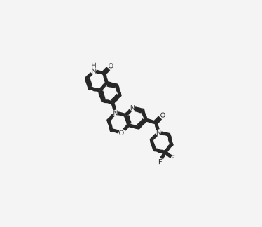 O=C(c1cnc2c(c1)OCCN2c1ccc2c(=O)[nH]ccc2c1)N1CCC(F)(F)CC1